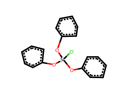 Cl[Si](Oc1ccccc1)(Oc1ccccc1)Oc1ccccc1